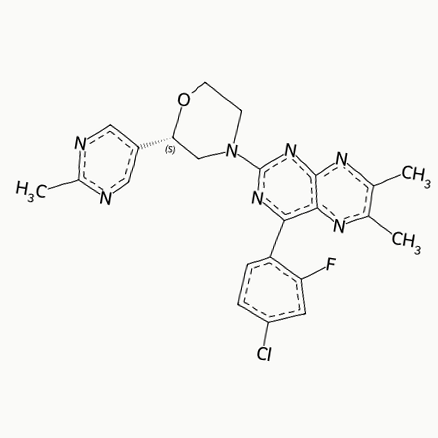 Cc1ncc([C@H]2CN(c3nc(-c4ccc(Cl)cc4F)c4nc(C)c(C)nc4n3)CCO2)cn1